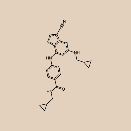 N#Cc1cnc2c(Nc3ccc(C(=O)NCC4CC4)cn3)cc(NCC3CC3)nn12